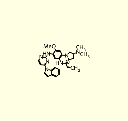 C=CC(=O)Nc1cc(Nc2nccc(-n3ccc4ccccc43)n2)c(OC)cc1N1CC[C@H](N(C)C)C1